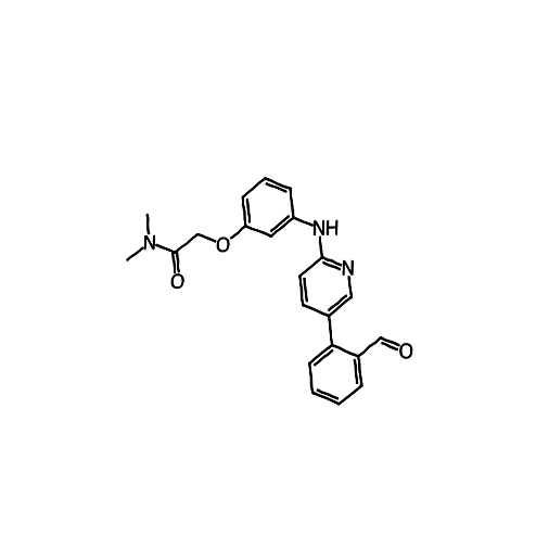 CN(C)C(=O)COc1cccc(Nc2ccc(-c3ccccc3C=O)cn2)c1